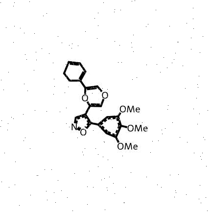 COc1cc(-c2oncc2C2=COC=C(C3=CC=CCC3)O2)cc(OC)c1OC